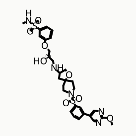 CNS(=O)(=O)c1cccc(OC[C@@H](O)CNC2COC3(CCN(S(=O)(=O)c4cccc(-c5cnc(OC)nc5)c4)CC3)C2)c1